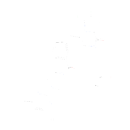 Cc1cc(C)nc(N2CCN(C(=O)c3cc(Cc4c[nH]c(=O)c5cc(Cl)c(Cl)n45)ccc3F)CC2)n1.O=C(O)C(F)(F)F